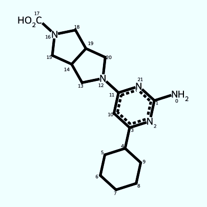 Nc1nc(C2CCCCC2)cc(N2CC3CN(C(=O)O)CC3C2)n1